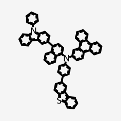 c1ccc(-n2c3ccccc3c3cc(-c4ccc(N(c5ccc(-c6ccc7sc8ccccc8c7c6)cc5)c5ccc6c7ccccc7c7ccccc7c6c5)c5ccccc45)ccc32)cc1